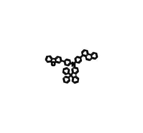 c1ccc(C2(c3ccccc3)c3ccccc3-c3ccc(N(c4ccc(-c5ccc6c(c5)oc5ccccc56)cc4)c4ccc(-c5cccc6c5ccc5ccccc56)cc4)cc32)cc1